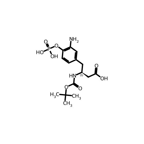 CC(C)(C)OC(=O)N[C@H](CC(=O)O)Cc1ccc(OP(=O)(O)O)c(N)c1